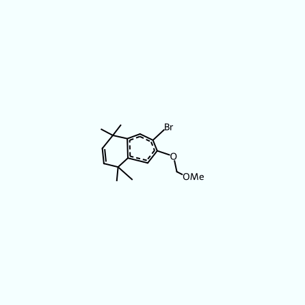 COCOc1cc2c(cc1Br)C(C)(C)C=CC2(C)C